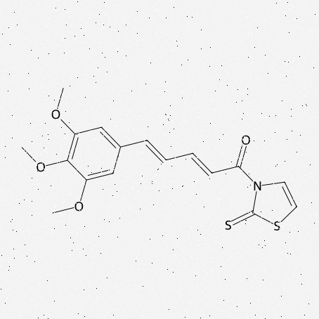 COc1cc(C=CC=CC(=O)n2ccsc2=S)cc(OC)c1OC